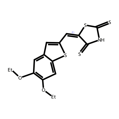 CCOc1cc2cc(/C=C3/SC(=S)NC3=S)sc2cc1OCC